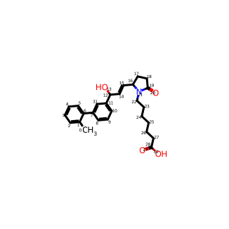 Cc1ccccc1-c1cccc(C(O)C=CC2CCC(=O)N2CCCCCCC(=O)O)c1